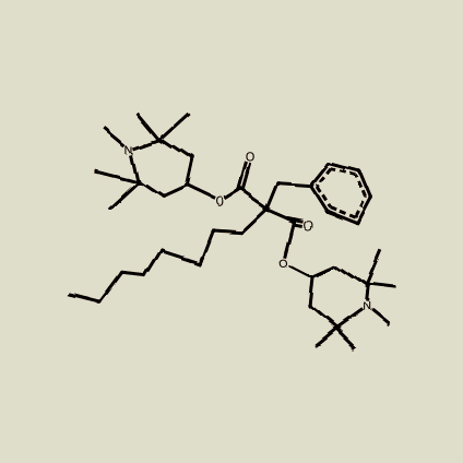 CCCCCCCCC(Cc1ccccc1)(C(=O)OC1CC(C)(C)N(C)C(C)(C)C1)C(=O)OC1CC(C)(C)N(C)C(C)(C)C1